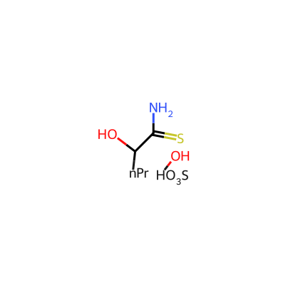 CCCC(O)C(N)=S.O=S(=O)(O)O